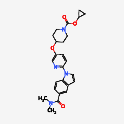 CN(C)C(=O)c1ccc2c(ccn2-c2ccc(OC3CCN(C(=O)OC4CC4)CC3)cn2)c1